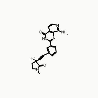 CN1CC[C@](O)(C#Cc2cccc(-c3nc4c(N)nccc4c(=O)[nH]3)c2)C1=O